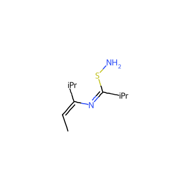 C/C=C(\N=C(/SN)C(C)C)C(C)C